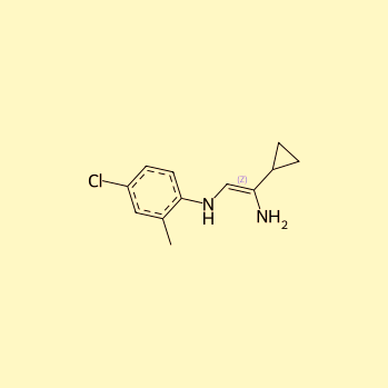 Cc1cc(Cl)ccc1N/C=C(\N)C1CC1